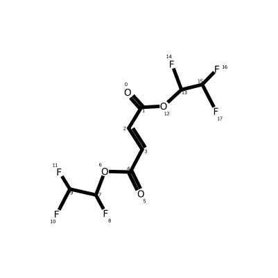 O=C(C=CC(=O)OC(F)C(F)F)OC(F)C(F)F